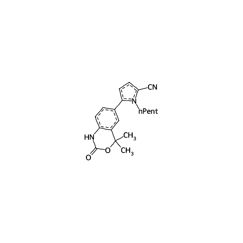 CCCCCn1c(C#N)ccc1-c1ccc2c(c1)C(C)(C)OC(=O)N2